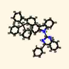 c1ccc(-c2nc(-n3c4ccccc4c4c5ccc6c(c5ccc43)C(c3ccccc3)(c3ccccc3)c3ccccc3-6)nc3ccccc23)cc1